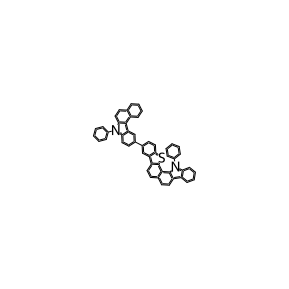 c1ccc(-n2c3ccc(-c4ccc5sc6c(ccc7ccc8c9ccccc9n(-c9ccccc9)c8c76)c5c4)cc3c3c4ccccc4ccc32)cc1